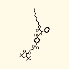 CCCCCCCCOC(=O)/C(=N\Nc1ccc(C(=O)OCCOC(=O)C(CC(C)(C)C)C(C)(C)C)cc1)c1ccccc1